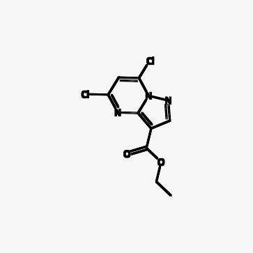 CCOC(=O)c1cnn2c(Cl)cc(Cl)nc12